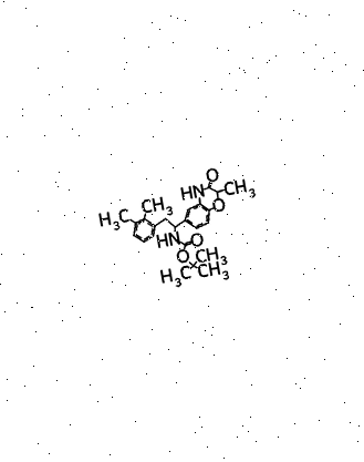 Cc1cccc(CC(NC(=O)OC(C)(C)C)c2ccc3c(c2)NC(=O)C(C)O3)c1C